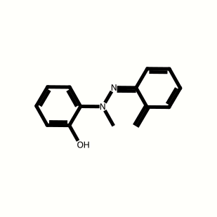 C=C1C=CC=C/C1=N/N(C)c1ccccc1O